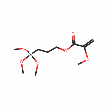 C=C(OC)C(=O)OCCC[Si](OC)(OC)OC